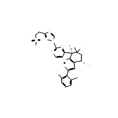 C[C@@H]1CC(C)(C)[C@@](C)(c2ccnc(-n3cnc(C[C@@H](C)S(C)(=O)=O)n3)n2)c2nnc(-c3c(F)cccc3F)cc21